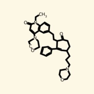 CCn1c(=O)cc(N2CCOCC2)c2cc(CCC3C(=O)CCC(CCCN4CCOCC4)C=C3c3ccccc3)ccc21